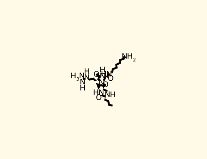 CCCC[C@@H]1NC[C@H](C(=O)C2(N3C[C@H](C(=O)NCCCCCCCN)NC(=O)[C@@H]3CCCNC(=N)N)CC2)NC1=O